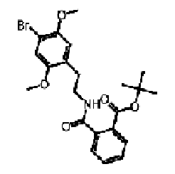 COc1cc(CCNC(=O)c2ccccc2C(=O)OC(C)(C)C)c(OC)cc1Br